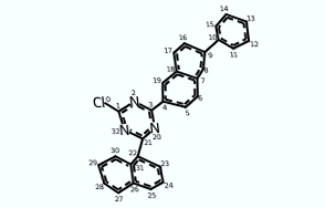 Clc1nc(-c2ccc3cc(-c4ccccc4)ccc3c2)nc(-c2cccc3ccccc23)n1